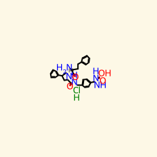 Cl.N=C(NC(=O)O)c1ccc(CNC(=O)C2CC(c3ccccc3)CN2C(=O)[C@H](N)CCc2ccccc2)cc1